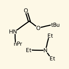 CCCNC(=O)OC(C)(C)C.CCN(CC)CC